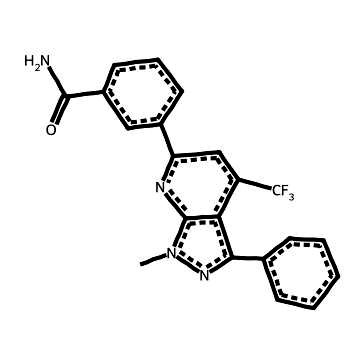 Cn1nc(-c2ccccc2)c2c(C(F)(F)F)cc(-c3cccc(C(N)=O)c3)nc21